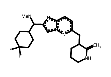 C=C1NCCCC1Cc1ccc2nc(C(NC)C3CCC(F)(F)CC3)cn2n1